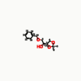 CC1(C)OC[C@H](C(O)COCc2ccccc2)O1